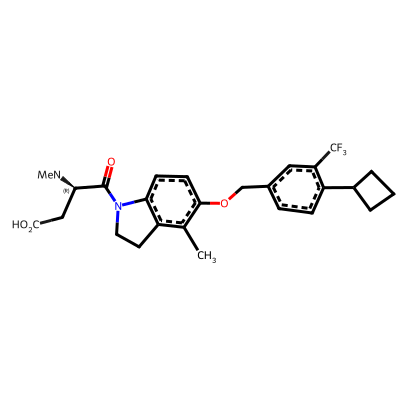 CN[C@H](CC(=O)O)C(=O)N1CCc2c1ccc(OCc1ccc(C3CCC3)c(C(F)(F)F)c1)c2C